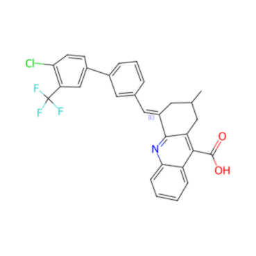 CC1C/C(=C\c2cccc(-c3ccc(Cl)c(C(F)(F)F)c3)c2)c2nc3ccccc3c(C(=O)O)c2C1